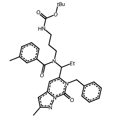 CCC(c1cc2cc(C)nn2c(=O)n1Cc1ccccc1)N(CCCNC(=O)OC(C)(C)C)C(=O)c1cccc(C)c1